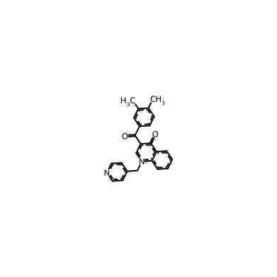 Cc1ccc(C(=O)c2cn(Cc3ccncc3)c3ccccc3c2=O)cc1C